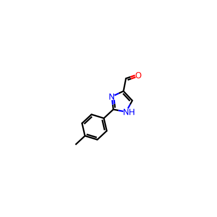 Cc1ccc(-c2nc(C=O)c[nH]2)cc1